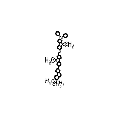 CCC1(CC)c2cc(/C=C/c3ccc4c(c3)C(CC)(CC)c3cc(N(c5ccccc5)c5ccccc5)ccc3-4)ccc2-c2ccc(-c3ccc4c(ccc5cc([Si](C)(C)C)ccc54)c3)cc21